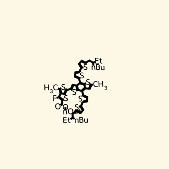 CCCCCCCCOC(=O)c1sc2c(-c3cc4c(-c5ccc(-c6ccc(CC(CC)CCCC)s6)s5)c5sc(C)cc5c(-c5ccc(-c6ccc(CC(CC)CCCC)s6)s5)c4s3)sc(C)c2c1F